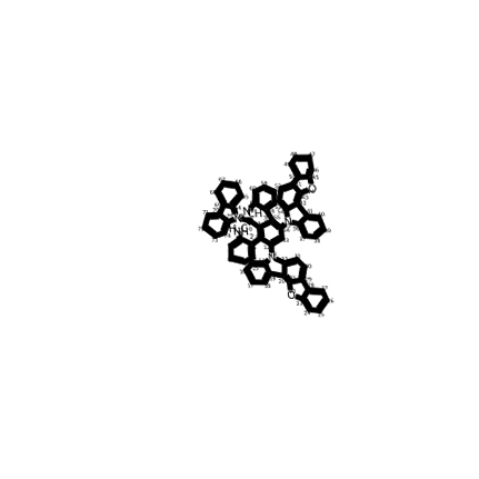 CC(C)(c1c(-c2ccccc2N)c(-n2c3ccccc3c3c4oc5ccccc5c4ccc32)cc(-n2c3ccccc3c3c4oc5ccccc5c4ccc32)c1-c1ccccc1N)n1c2ccccc2c2ccccc21